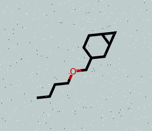 CCCCOCC1CCC2CC2C1